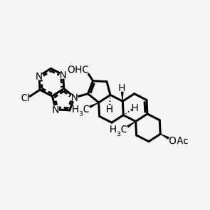 CC(=O)O[C@H]1CC[C@@]2(C)C(=CC[C@@H]3[C@@H]2CC[C@]2(C)C(n4cnc5c(Cl)ncnc54)=C(C=O)C[C@@H]32)C1